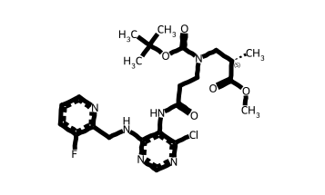 COC(=O)[C@@H](C)CN(CCC(=O)Nc1c(Cl)ncnc1NCc1ncccc1F)C(=O)OC(C)(C)C